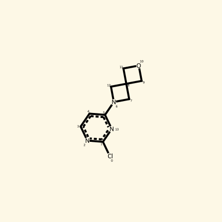 Clc1nccc(N2CC3(COC3)C2)n1